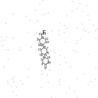 CC1CCC(C2CCC(C3CCC(CF)CC3)CC2)CC1